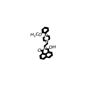 COc1ccccc1N1CCN(CCN2C(=O)c3cccc4cccc(c34)C2O)CC1